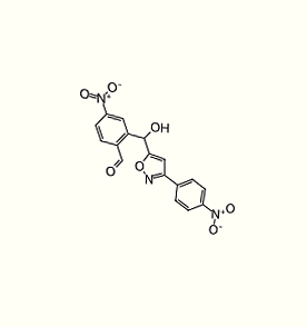 O=Cc1ccc([N+](=O)[O-])cc1C(O)c1cc(-c2ccc([N+](=O)[O-])cc2)no1